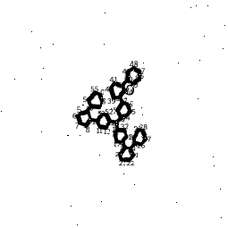 c1ccc(-c2ccccc2-c2ccc(C(c3ccc(-c4ccccc4-c4ccccc4)cc3)c3cccc(-c4cccc5c4oc4ccccc45)c3)cc2)cc1